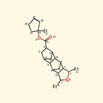 CCC1OC(CC)C2C3CC(C4C5CC(C(=O)OC6(CC)CCCC6)C(C5)C34)C12